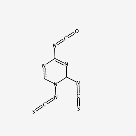 O=C=NC1=NC(N=C=S)N(N=C=S)C=N1